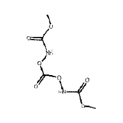 COC(=O)NOC(=O)ONC(=O)OC